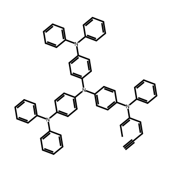 C#C/C=C\C(=C/C)N(c1ccccc1)c1ccc(N(c2ccc(N(c3ccccc3)c3ccccc3)cc2)c2ccc(N(c3ccccc3)c3ccccc3)cc2)cc1